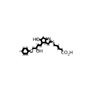 O=C(O)CC=CCSC1=NC2CC(O)C(C=C[C@H](O)COc3ccccc3)C2C1